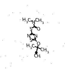 C#CC(C)(C)Oc1nc(SC(=O)N(C)C)ns1